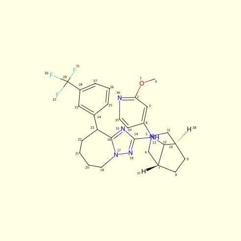 COc1cc(N2C[C@H]3CC[C@H](C2)C3Nc2nc3n(n2)CCCCC3c2cccc(C(F)(F)F)c2)ccn1